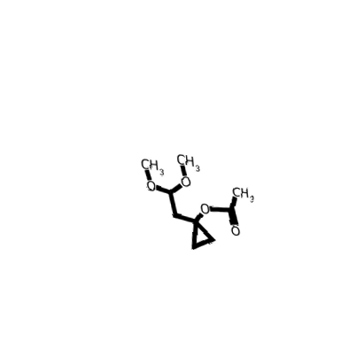 COC(CC1(OC(C)=O)CC1)OC